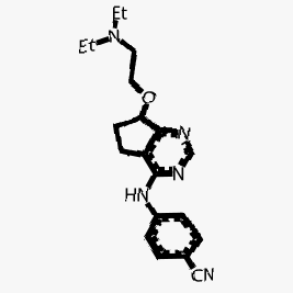 CCN(CC)CCOC1CCc2c(Nc3ccc(C#N)cc3)ncnc21